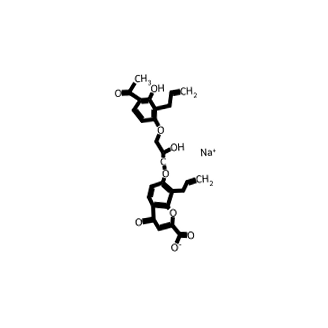 C=CCc1c(OCC(O)COc2ccc3c(=O)cc(C(=O)[O-])oc3c2CC=C)ccc(C(C)=O)c1O.[Na+]